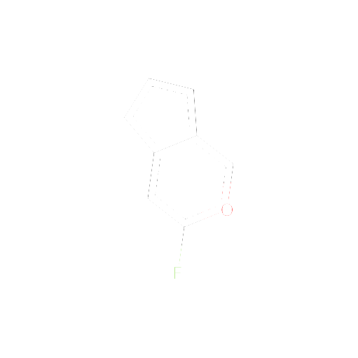 Fc1cc2cccc-2co1